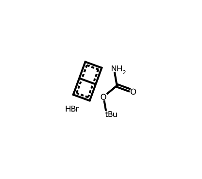 Br.CC(C)(C)OC(N)=O.c1cc2ccc1-2